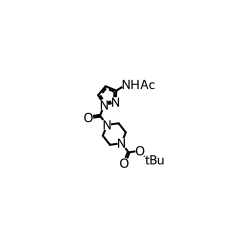 CC(=O)Nc1ccn(C(=O)N2CCN(C(=O)OC(C)(C)C)CC2)n1